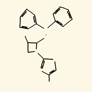 CC(C)(C)C1CN(c2nc(C#N)cs2)C1O[SiH](c1ccccc1)c1ccccc1